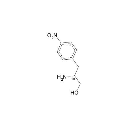 N[C@@H](CO)Cc1ccc([N+](=O)[O-])cc1